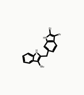 CCc1[nH]c2cc(Cc3[nH]c4ccccc4c3C(C)(C)C)ccc2c1C(C)C